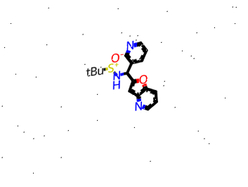 CC(C)(C)[S+]([O-])NC(c1cccnc1)c1cc2ncccc2o1